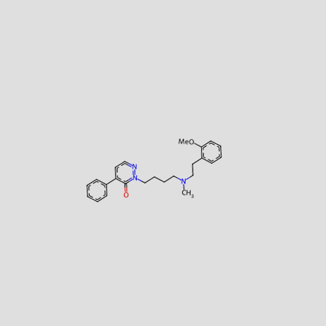 COc1ccccc1CCN(C)CCCCn1nccc(-c2ccccc2)c1=O